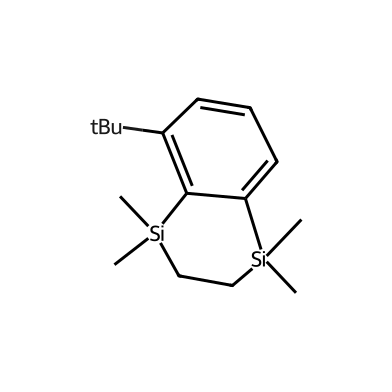 CC(C)(C)c1cccc2c1[Si](C)(C)CC[Si]2(C)C